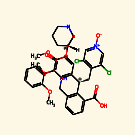 COc1ccc([C@H](Cc2c(Cl)c[n+]([O-])cc2Cl)c2c(CNC(C(=O)O[C@H]3CN4CCC3CC4)c3ccccc3OC)cccc2C(=O)O)cc1OC